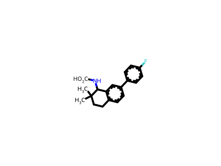 CC1(C)CCc2ccc(-c3ccc(F)cc3)cc2C1NC(=O)O